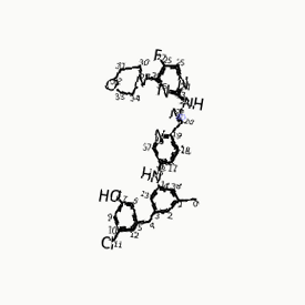 Cc1cc(Cc2cc(O)cc(Cl)c2)cc(Nc2ccc(/C=N/Nc3ncc(F)c(N4CCOCC4)n3)nc2)c1